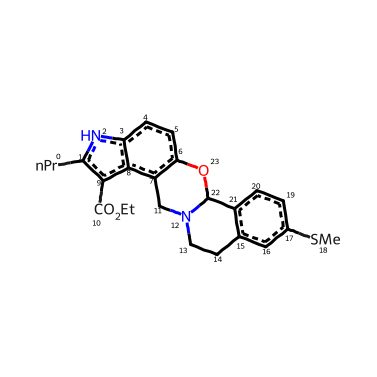 CCCc1[nH]c2ccc3c(c2c1C(=O)OCC)CN1CCc2cc(SC)ccc2C1O3